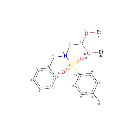 CCOC(CN(Cc1ccccc1)S(=O)(=O)c1ccc(C)cc1)OCC